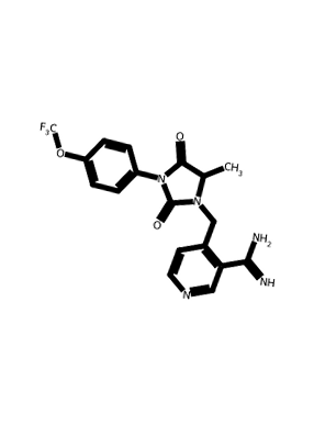 CC1C(=O)N(c2ccc(OC(F)(F)F)cc2)C(=O)N1Cc1ccncc1C(=N)N